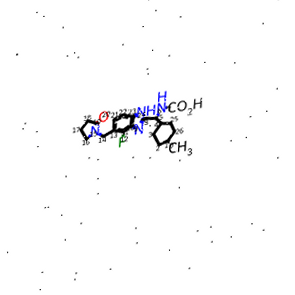 CC1CCC(C(NC(=O)O)c2nc3c(F)c(CN4CCCC4=O)ccc3[nH]2)CC1